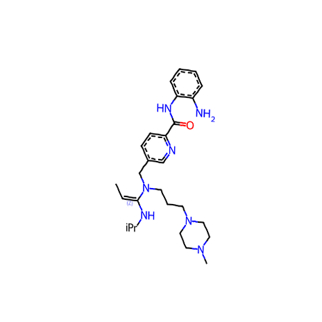 C/C=C(/NC(C)C)N(CCCN1CCN(C)CC1)Cc1ccc(C(=O)Nc2ccccc2N)nc1